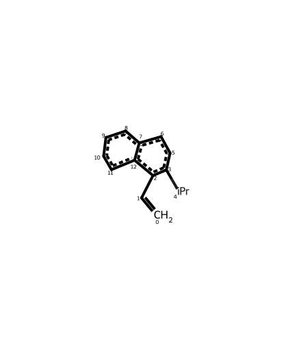 C=Cc1c(C(C)C)ccc2ccccc12